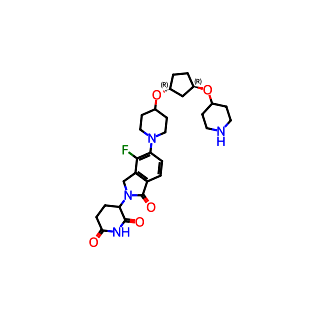 O=C1CCC(N2Cc3c(ccc(N4CCC(O[C@@H]5CC[C@@H](OC6CCNCC6)C5)CC4)c3F)C2=O)C(=O)N1